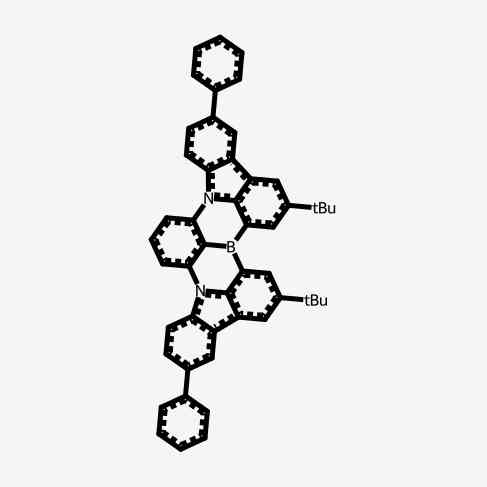 CC(C)(C)c1cc2c3c(c1)c1cc(-c4ccccc4)ccc1n3-c1cccc3c1B2c1cc(C(C)(C)C)cc2c4cc(-c5ccccc5)ccc4n-3c12